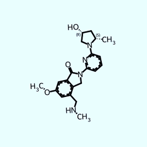 CNCc1cc(OC)cc2c1CN(c1cccc(N3C[C@H](O)C[C@@H]3C)n1)C2=O